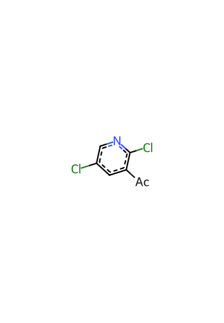 CC(=O)c1cc(Cl)cnc1Cl